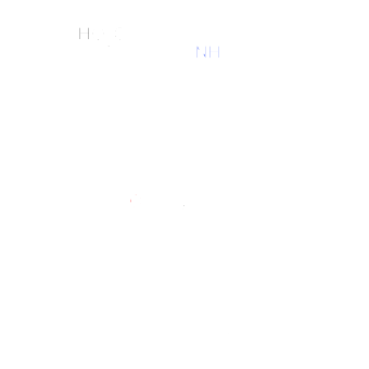 O=C(c1ccccc1)c1cccc2c1CC(C(=O)O)N2